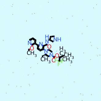 CCOc1ncccc1-c1ccc(N2CCN(C(=O)O[C@H](C(C)(C)C)C(F)(F)F)C[C@H]2CC)c(C(=O)N[C@@H]2CCNC2)n1